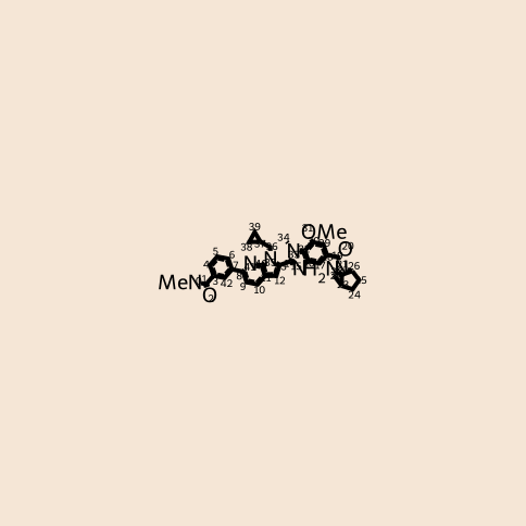 CNC(=O)c1cccc(-c2ccc3cc(-c4nc5cc(C(=O)N6CC7CCC6C7N)cc(OC)c5n4C)n(CC4CC4)c3n2)c1